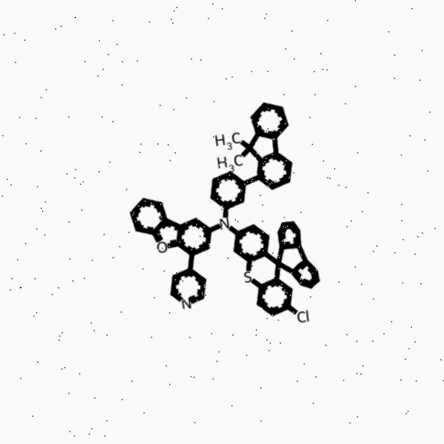 CC1(C)c2ccccc2-c2cccc(-c3cccc(N(c4ccc5c(c4)Sc4ccc(Cl)cc4C54c5ccccc5-c5ccccc54)c4cc(-c5ccncc5)c5oc6ccccc6c5c4)c3)c21